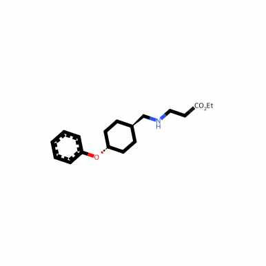 CCOC(=O)CCNC[C@H]1CC[C@H](Oc2ccccc2)CC1